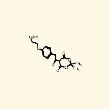 COCCOc1ccc(CC(=O)C2C(=O)OC(C)(C)OC2=O)cc1